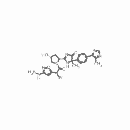 BBc1cc(C(C(=O)N2C[C@H](O)C[C@H]2C2=NC(=O)C(C)(c3ccc(-c4scnc4C)cc3)N2)C(C)C)on1